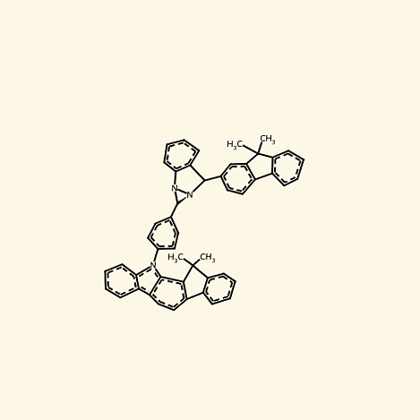 CC1(C)c2ccccc2-c2ccc(C3c4ccccc4N4C(c5ccc(-n6c7ccccc7c7ccc8c(c76)C(C)(C)c6ccccc6-8)cc5)[N@]34)cc21